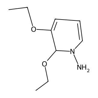 CCOC1=CC=CN(N)C1OCC